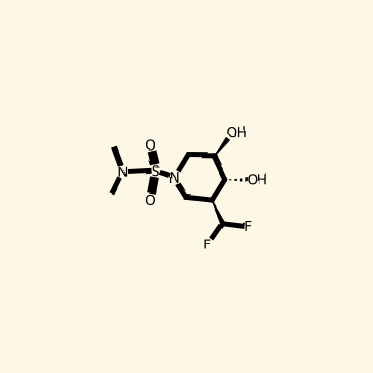 CN(C)S(=O)(=O)N1C[C@@H](O)[C@H](O)[C@@H](C(F)F)C1